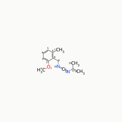 COc1cccc(C)c1CN=C=NC(C)C